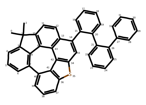 CC1(C)c2cccc3c2-c2c1ccc1c(-c4ccccc4-c4ccccc4-c4ccccc4)cc4sc5cccc-3c5c4c21